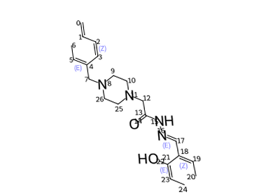 C=C/C=C\C(=C/C)CN1CCN(CC(=O)N/N=C/C(=C/C)C(/O)=C\C)CC1